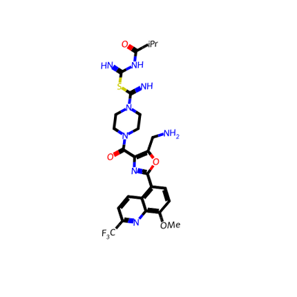 COc1ccc(-c2nc(C(=O)N3CCN(C(=N)SC(=N)NC(=O)C(C)C)CC3)c(CN)o2)c2ccc(C(F)(F)F)nc12